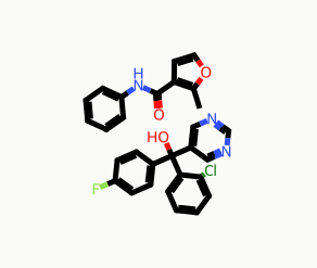 Cc1occc1C(=O)Nc1ccccc1.OC(c1ccc(F)cc1)(c1cncnc1)c1ccccc1Cl